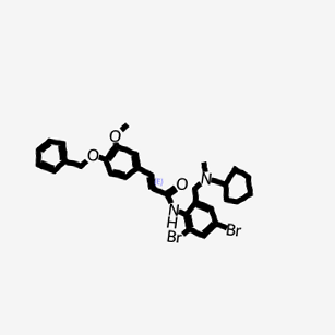 COc1cc(/C=C/C(=O)Nc2c(Br)cc(Br)cc2CN(C)C2CCCCC2)ccc1OCc1ccccc1